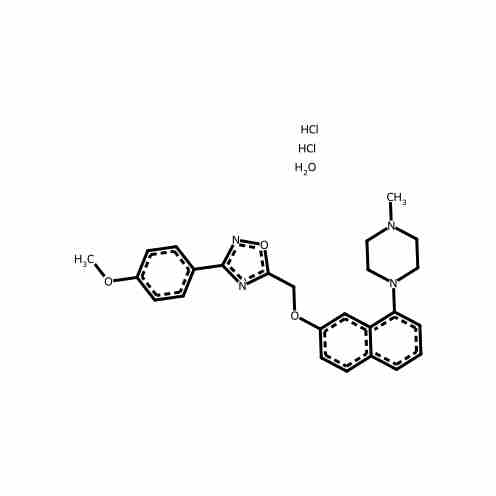 COc1ccc(-c2noc(COc3ccc4cccc(N5CCN(C)CC5)c4c3)n2)cc1.Cl.Cl.O